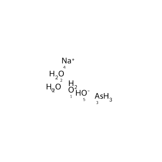 O.O.O.[AsH3].[Na+].[OH-]